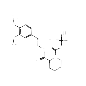 COc1ccc(CCOC(=O)C2CCCCN2C(=O)OC(C)(C)C)cc1OC